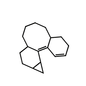 C1=C/C2=C3/C(CCCCC2CC1)CCC1CC31